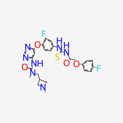 CN1CC(CN(C)C(=O)Nc2cc(Oc3ccc(NC(=S)NC(=O)COc4ccc(F)cc4)cc3F)ncn2)C1